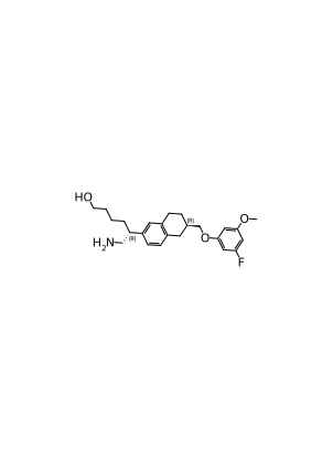 COc1cc(F)cc(OC[C@@H]2CCc3cc([C@H](CN)CCCCO)ccc3C2)c1